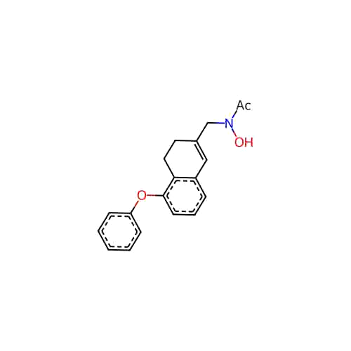 CC(=O)N(O)CC1=Cc2cccc(Oc3ccccc3)c2CC1